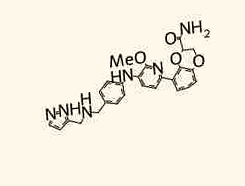 COc1nc(-c2cccc3c2OC(C(N)=O)CO3)ccc1Nc1ccc(CNCc2ccn[nH]2)cc1